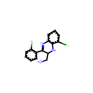 NCC1Nc2c(F)cccc2N=C1c1ccccc1Cl